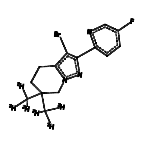 [2H]C([2H])([2H])C1(C([2H])([2H])[2H])CCc2c(Br)c(-c3ccc(F)cn3)nn2C1